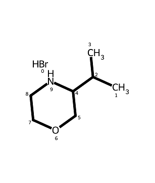 Br.CC(C)C1COCCN1